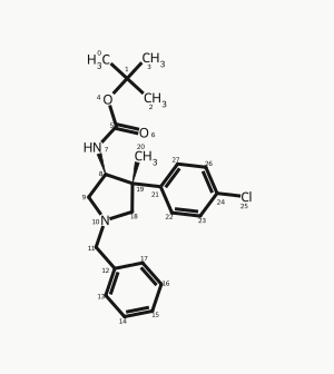 CC(C)(C)OC(=O)N[C@@H]1CN(Cc2ccccc2)C[C@@]1(C)c1ccc(Cl)cc1